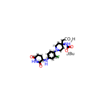 CC(C)(C)OC(=O)NC1(CC(=O)O)CCN(c2ccc(NC3CCC(=O)NC3=O)cc2F)CC1